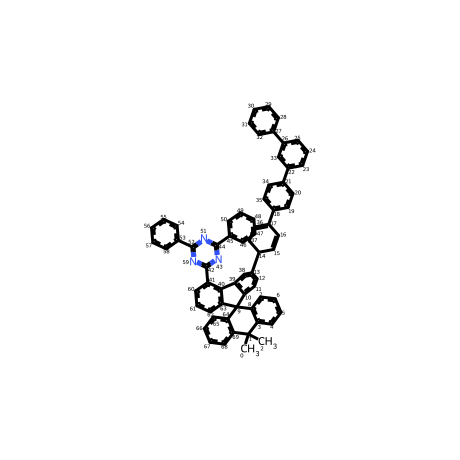 CC1(C)c2ccccc2C2(c3ccc(C4C=CC(c5ccc(-c6cccc(-c7ccccc7)c6)cc5)=CC4)cc3-c3c(-c4nc(-c5ccccc5)nc(-c5ccccc5)n4)cccc32)c2ccccc21